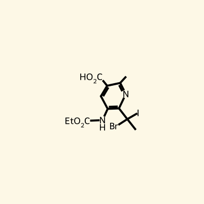 CCOC(=O)Nc1cc(C(=O)O)c(C)nc1C(C)(Br)I